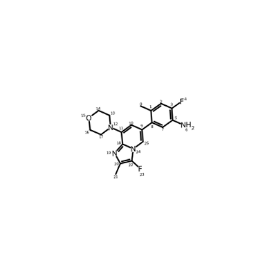 Cc1cc(F)c(N)cc1-c1cc(N2CCOCC2)c2nc(C)c(F)n2c1